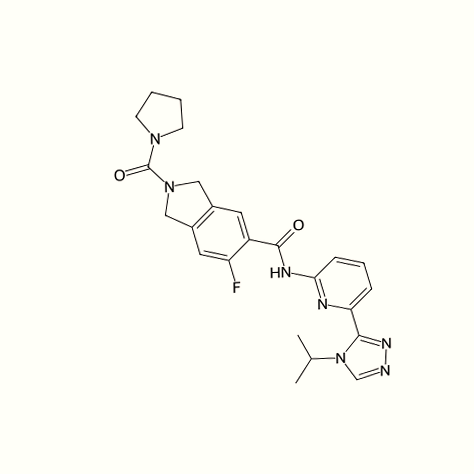 CC(C)n1cnnc1-c1cccc(NC(=O)c2cc3c(cc2F)CN(C(=O)N2CCCC2)C3)n1